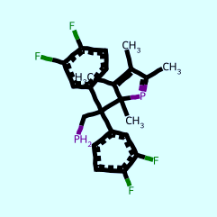 CC1=PC(C)(C(CP)(c2ccc(F)c(F)c2)c2ccc(F)c(F)c2)C(C)=C1C